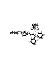 CCCCCCC[n+]1ccn(CCCC(c2ccccc2)c2ccccc2)c1.O=P([O-])(O)O